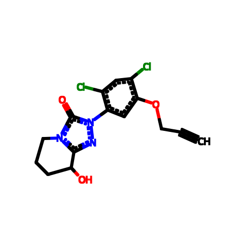 C#CCOc1cc(-n2nc3n(c2=O)CCCC3O)c(Cl)cc1Cl